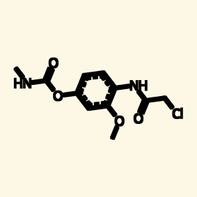 CNC(=O)Oc1ccc(NC(=O)CCl)c(OC)c1